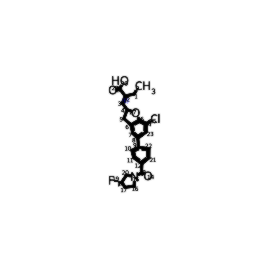 CC/C(=C\C1Cc2cc(-c3ccc(C(=O)N4CC[C@@H](F)C4)cc3)cc(Cl)c2O1)C(=O)O